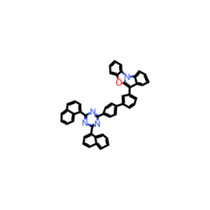 c1cc(-c2ccc(-c3nc(-c4cccc5ccccc45)nc(-c4cccc5ccccc45)n3)cc2)cc(-c2c3ccccc3n3c2oc2ccccc23)c1